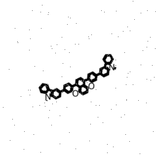 Cn1c2c(c3cc(-c4ccc5c(c4)Oc4ccc6c7c(ccc-5c47)-c4ccc(C5=Cc7c(n(C)c8ccccc78)CC5)cc4O6)ccc31)C=CCC2